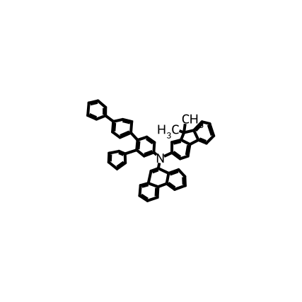 CC1(C)c2ccccc2-c2ccc(N(c3ccc(-c4ccc(-c5ccccc5)cc4)c(-c4ccccc4)c3)c3cc4ccccc4c4ccccc34)cc21